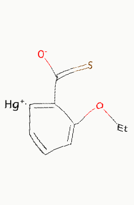 CCOc1ccccc1C([O-])=S.[Hg+]